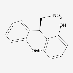 COc1ccccc1[C@@H](C[N+](=O)[O-])c1ccccc1O